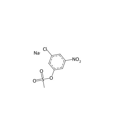 CS(=O)(=O)Oc1cc(Cl)cc([N+](=O)[O-])c1.[Na]